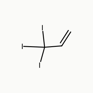 C=CC(I)(I)I